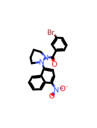 O=C(c1cccc(Br)c1)N1CCCCN1c1ccc([N+](=O)[O-])c2ccccc12